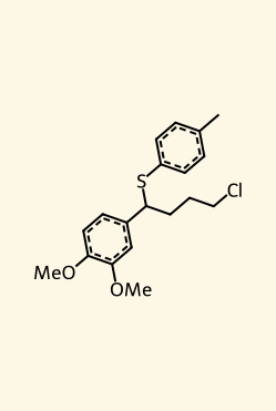 COc1ccc(C(CCCCl)Sc2ccc(C)cc2)cc1OC